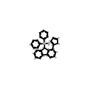 [Zr][Sn]([c]1ccccc1)([c]1ccccc1)[CH]1c2ccccc2-c2cccc(C3=CC=CC3)c21